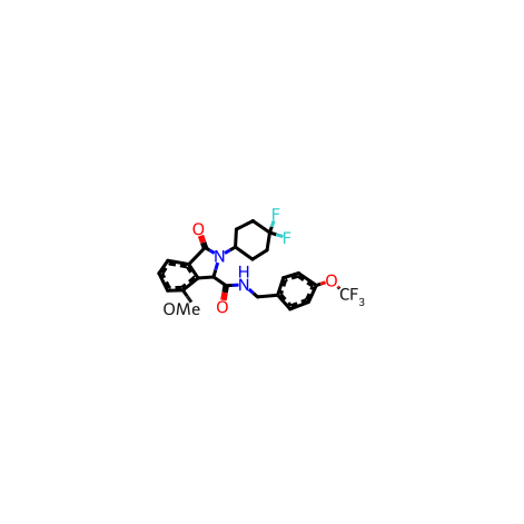 COc1cccc2c1C(C(=O)NCc1ccc(OC(F)(F)F)cc1)N(C1CCC(F)(F)CC1)C2=O